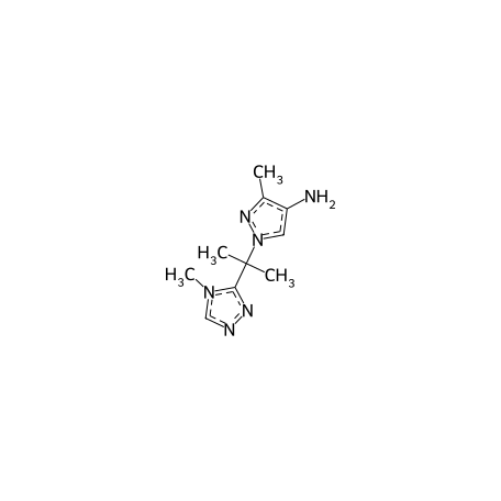 Cc1nn(C(C)(C)c2nncn2C)cc1N